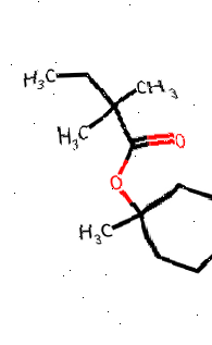 CCC(C)(C)C(=O)OC1(C)CCCCC1